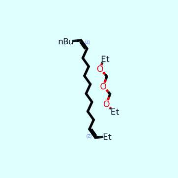 CC/C=C\CCCCCCCC/C=C\CCCC.CCOCOCOCC